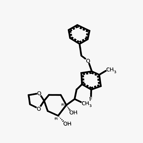 Cc1cc(F)c(CC(C)[C@]2(O)CCC3(C[C@H]2O)OCCO3)cc1OCc1ccccc1